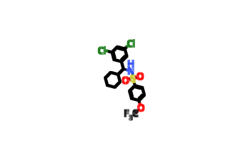 O=S(=O)(N[C@H](c1cc(Cl)cc(Cl)c1)C1CCCCC1)c1ccc(OC(F)(F)F)cc1